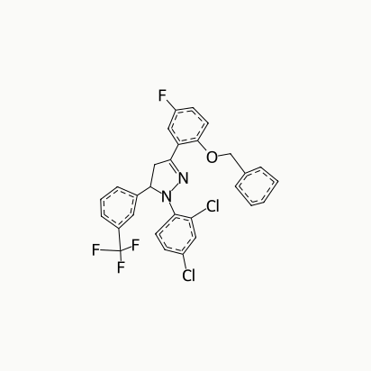 Fc1ccc(OCc2ccccc2)c(C2=NN(c3ccc(Cl)cc3Cl)C(c3cccc(C(F)(F)F)c3)C2)c1